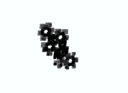 CC1(C)c2ccccc2-c2nc(Cl)c(-c3cccc4c3c3ccccc3n4-c3ccccc3)nc21